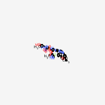 COc1cc(CN2CCN(C3CC4(C3)CN(c3ccc(C(=O)NS(=O)(=O)c5cnc(NCC6CCC(C)(O)CC6)c([N+](=O)[O-])c5)c(Oc5cc6c(F)c[nH]c6nc5OC)c3)C4)[C@H](c3ccccc3C(C)C)C2)ccc1C1CC1